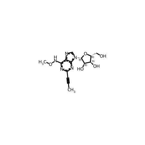 CC#Cc1nc(NOC)c2ncn([C@@H]3O[C@H](CO)[C@@H](O)[C@H]3O)c2n1